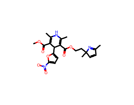 COC(=O)C1=C(C)NC(C)=C(C(=O)OCCC2(C)C=CC(C)=N2)C1c1ccc([N+](=O)[O-])o1